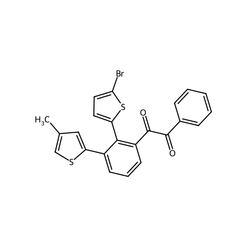 Cc1csc(-c2cccc(C(=O)C(=O)c3ccccc3)c2-c2ccc(Br)s2)c1